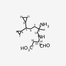 CC(N)(CCC(C1CC1)C1CC1)CN[C@H](C=O)CC(=O)O